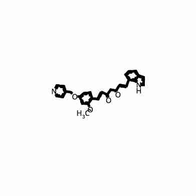 COc1cc(OCc2ccncc2)ccc1C=CC(=O)CC(=O)C=Cc1cccc2cc[nH]c12